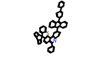 c1ccc(-c2ccc(-c3c4ccccc4c(-c4ccc5nc(-c6ccccc6)c6ccc7c(c6c5c4)Sc4ccccc4C74c5ccccc5-c5ccccc54)c4ccccc34)cc2)cc1